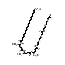 CCC(=O)COCCOCCNC(=O)COCCOCCNC(=O)CC[C@H](NC(=O)CC[C@H](NC(=O)CC[C@H](NC(=O)CCCCCCCCCCCCCCCCCCC(=O)O)C(=O)O)C(=O)O)C(=O)O